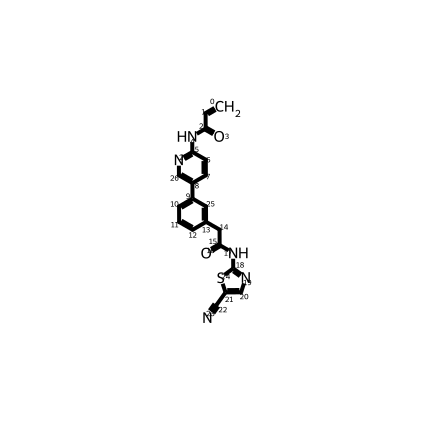 C=CC(=O)Nc1ccc(-c2cccc(CC(=O)Nc3ncc(C#N)s3)c2)cn1